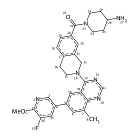 COc1ncc(-c2cc(C)c3ncnc(N4CCc5ccc(C(=O)N6CCC(N)CC6)cc5C4)c3c2)cc1F